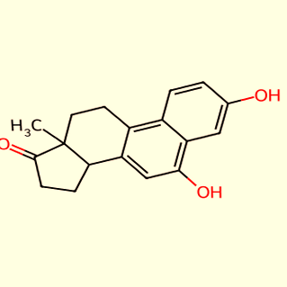 CC12CCc3c(cc(O)c4cc(O)ccc34)C1CCC2=O